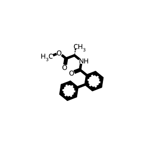 COC(=O)[C@H](C)NC(=O)c1ccccc1-c1ccccc1